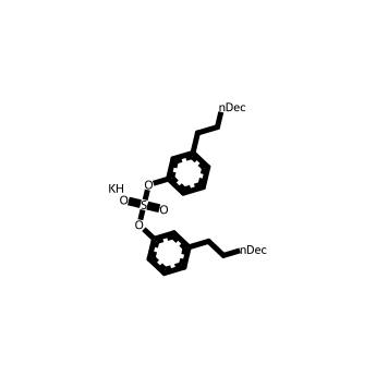 CCCCCCCCCCCCc1cccc(OS(=O)(=O)Oc2cccc(CCCCCCCCCCCC)c2)c1.[KH]